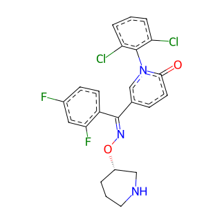 O=c1ccc(C(=NO[C@H]2CCCNC2)c2ccc(F)cc2F)cn1-c1c(Cl)cccc1Cl